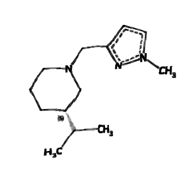 CC(C)[C@@H]1CCCN(Cc2ccn(C)n2)C1